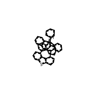 Sc1c2ccccc2c(-c2cccc3sc4cccc(-c5c6ccccc6c(-c6ccccc6)c6ccccc56)c4c23)c2ccccc12